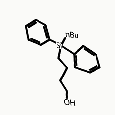 CCCC[Si](CCCCO)(c1ccccc1)c1ccccc1